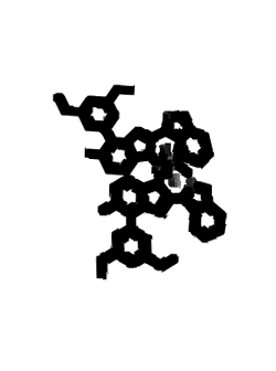 CCc1cc(CC)cc(-c2c(C)ccc3c2C=C(c2occ4ccccc24)[CH]3[Zr]([Cl])([Cl])([CH]2C(c3occ4ccccc34)=Cc3c2ccc(C)c3-c2cc(CC)cc(CC)c2)=[Si](C)C)c1